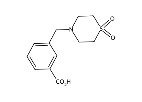 O=C(O)c1cccc(CN2CCS(=O)(=O)CC2)c1